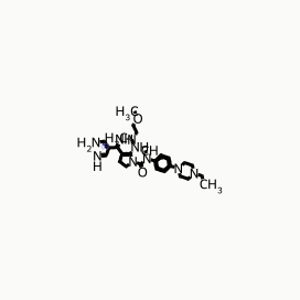 CCN1CCN(c2ccc(N(C)C(=O)N3CCC(C(=N)/C(C=N)=C/N)=C3NN(C)CCOC)cc2)CC1